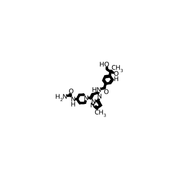 Cc1cc2nc(NC(=O)c3ccc(C(C)(O)CO)cc3)cc(N3CCC(NC(N)=O)CC3)n2n1